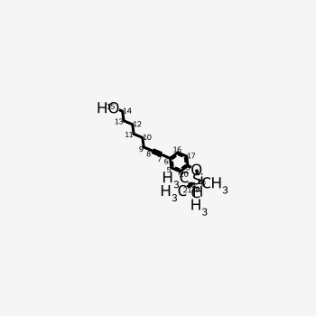 C[SiH](Oc1ccc(C#CCCCCCCO)cc1)C(C)(C)C